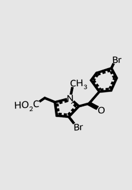 Cn1c(CC(=O)O)cc(Br)c1C(=O)c1ccc(Br)cc1